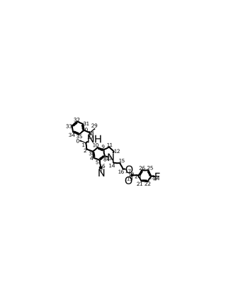 C[C@H](Cc1cc(C#N)c2c(c1)CCN2CCCOC(=O)c1ccc(F)cc1)N[C@H](C)c1ccccc1